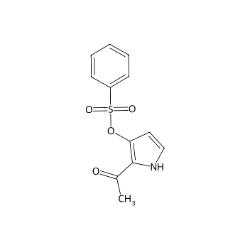 CC(=O)c1[nH]ccc1OS(=O)(=O)c1ccccc1